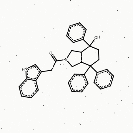 O=C(Cc1c[nH]c2ccccc12)N1CC2C(C1)C(c1ccccc1)(c1ccccc1)CCC2(O)c1ccccc1